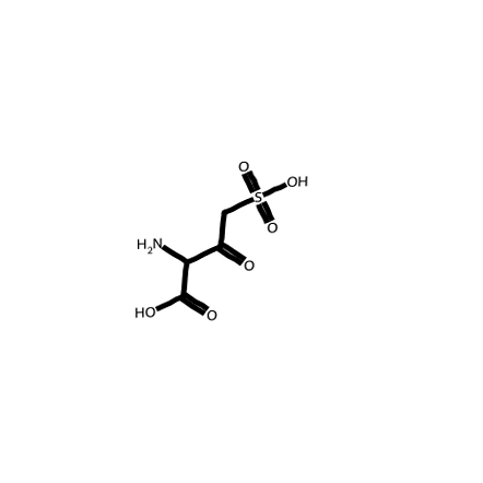 NC(C(=O)O)C(=O)CS(=O)(=O)O